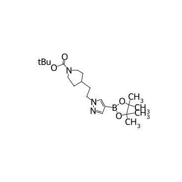 CC(C)(C)OC(=O)N1CCC(CCn2cc(B3OC(C)(C)C(C)(C)O3)cn2)CC1